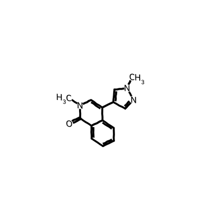 Cn1cc(-c2cn(C)c(=O)c3ccccc23)cn1